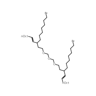 CCCCCCCCC=CC(CCCCCCCBr)CCOCOCOCCC(C=CCCCCCCCC)CCCCCCCBr